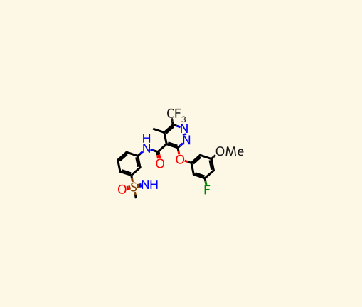 COc1cc(F)cc(Oc2nnc(C(F)(F)F)c(C)c2C(=O)Nc2cccc(S(C)(=N)=O)c2)c1